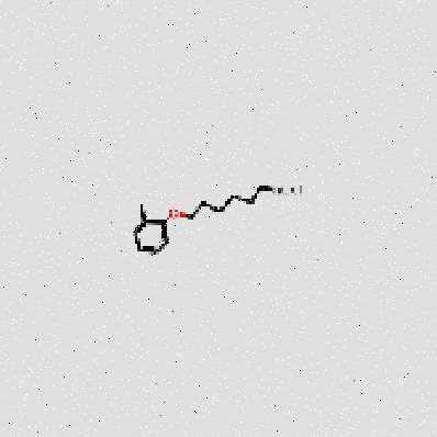 CCCCCCCCCCCCCCOc1ccccc1C